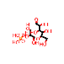 O=CC(O)C(O)C(O)C(O)CO.O=P(O)(O)O.OCC(O)CO